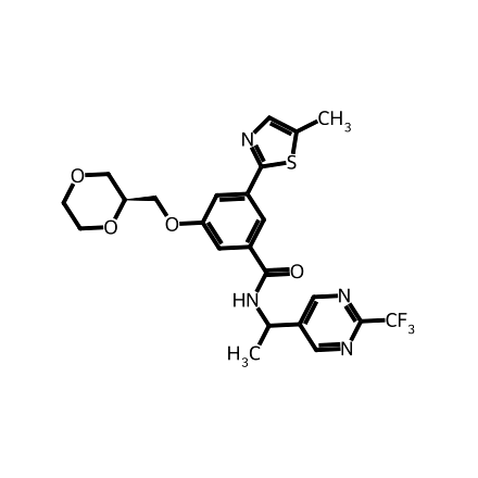 Cc1cnc(-c2cc(OC[C@@H]3COCCO3)cc(C(=O)NC(C)c3cnc(C(F)(F)F)nc3)c2)s1